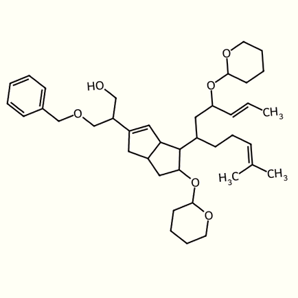 CC=CC(CC(CCC=C(C)C)C1C(OC2CCCCO2)CC2CC(C(CO)COCc3ccccc3)=CC21)OC1CCCCO1